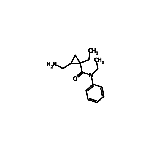 CCN(C(=O)C1(CC)CC1CN)c1ccccc1